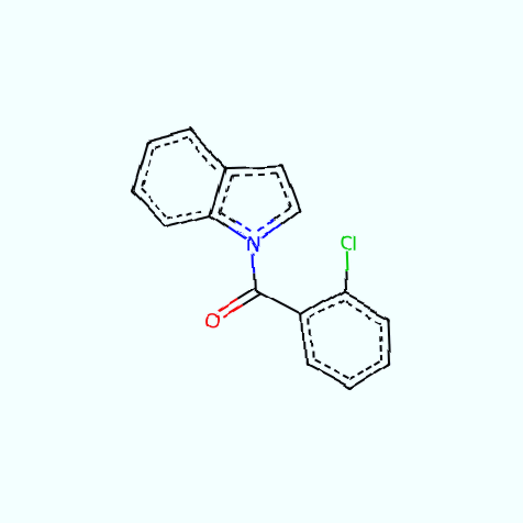 O=C(c1ccccc1Cl)n1ccc2ccccc21